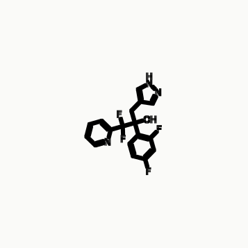 OC(Cc1cn[nH]c1)(c1ccc(F)cc1F)C(F)(F)c1ccccn1